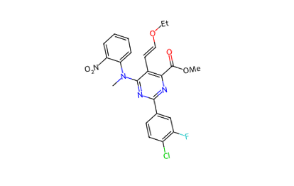 CCOC=Cc1c(C(=O)OC)nc(-c2ccc(Cl)c(F)c2)nc1N(C)c1ccccc1[N+](=O)[O-]